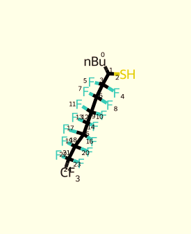 CCCCC(S)C(F)(F)C(F)(F)C(F)(F)C(F)(F)C(F)(F)C(F)(F)C(F)(F)C(F)(F)F